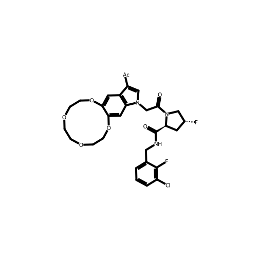 CC(=O)c1cn(CC(=O)N2C[C@H](F)C[C@H]2C(=O)NCc2cccc(Cl)c2F)c2cc3c(cc12)OCCOCCOCCO3